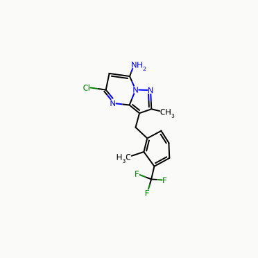 Cc1nn2c(N)cc(Cl)nc2c1Cc1cccc(C(F)(F)F)c1C